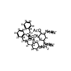 CC(=O)O[C@H]1C(N=[N+]=[N-])CC(N=[N+]=[N-])C([C@H]2O[C@H](CN(Cc3ccccc3)C(=O)OCc3ccccc3)CCC2N)[C@@H]1OC(C)=O